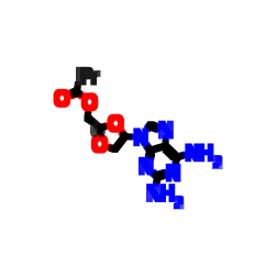 CC(C)C(=O)OC[C@@H]1OCC(n2cnc3c(N)nc(N)nc32)O1